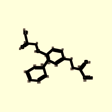 CCC(=O)COc1ccc(CCC(=O)OC)cc1-c1ccccc1